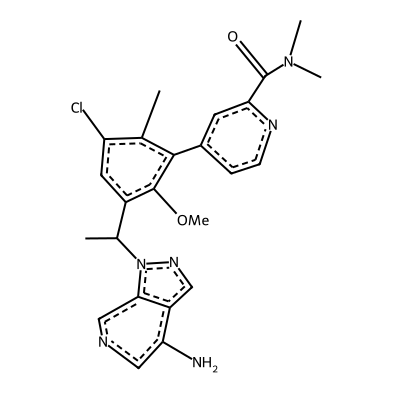 COc1c(C(C)n2ncc3c(N)cncc32)cc(Cl)c(C)c1-c1ccnc(C(=O)N(C)C)c1